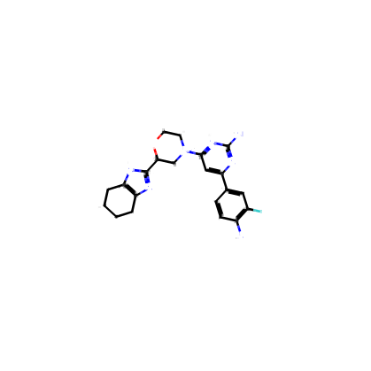 Nc1nc(-c2ccc(N)c(F)c2)cc(N2CCOC(c3nc4c([nH]3)CCCC4)C2)n1